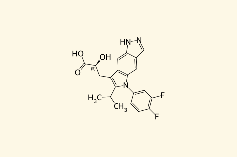 CC(C)c1c(C[C@H](O)C(=O)O)c2cc3[nH]ncc3cc2n1-c1ccc(F)c(F)c1